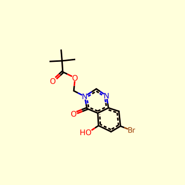 CC(C)(C)C(=O)OCn1cnc2cc(Br)cc(O)c2c1=O